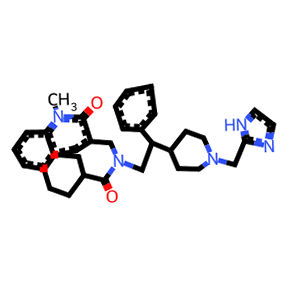 Cn1c(=O)c(CN(CC(c2ccccc2)C2CCN(Cc3ncc[nH]3)CC2)C(=O)C2CCCCC2)cc2ccccc21